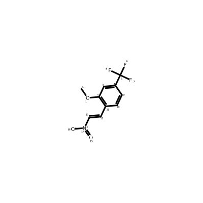 COc1cc(C(F)(F)F)ccc1C=C[N+](=O)[O-]